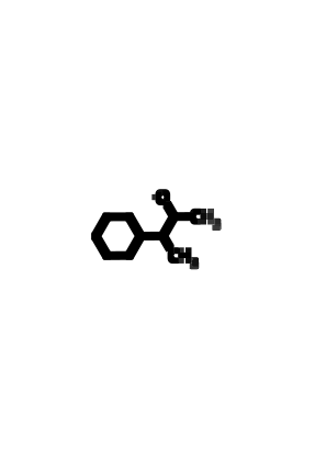 CC([O])C(C)C1CCCCC1